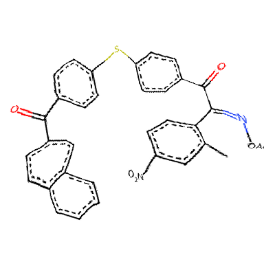 CC(=O)O/N=C(/C(=O)c1ccc(Sc2ccc(C(=O)c3ccc4ccccc4c3)cc2)cc1)c1ccc([N+](=O)[O-])cc1C